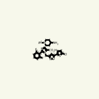 CC(C)N1CCC(N)CC1.O=C(O)c1cnc(-c2c(F)cccc2F)n1Cc1cc(-c2ccc(Cl)s2)on1